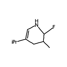 CC(C)C1=CNC(F)C(C)C1